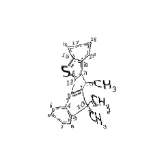 CC1C2=C(c3ccccc3C2(C)C)c2sc3ccccc3c21